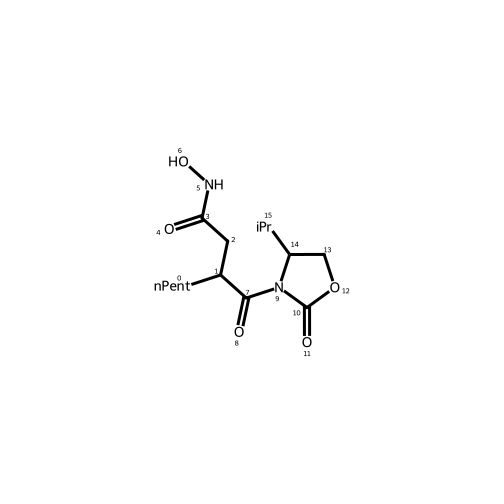 CCCCCC(CC(=O)NO)C(=O)N1C(=O)OCC1C(C)C